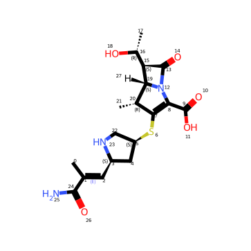 C/C(=C\[C@@H]1C[C@H](SC2=C(C(=O)O)N3C(=O)[C@H]([C@@H](C)O)[C@H]3[C@H]2C)CN1)C(N)=O